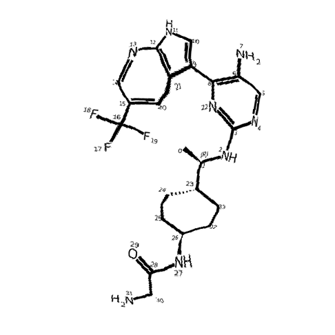 C[C@@H](Nc1ncc(N)c(-c2c[nH]c3ncc(C(F)(F)F)cc23)n1)[C@H]1CC[C@H](NC(=O)CN)CC1